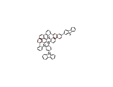 c1ccc(-c2ccccc2N2c3cc(-n4c5ccccc5c5ccccc54)ccc3B3c4ccc(-c5ccc(-c6ccc7c(c6)sc6ccccc67)cc5)cc4N(c4c(-c5ccccc5)cccc4-c4ccccc4)c4cccc2c43)cc1